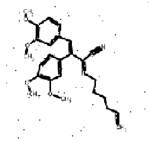 C=CCCCCN=C(C#N)/C(=C/c1ccc(OC)c(OC)c1)c1ccc(OC)c(OC)c1